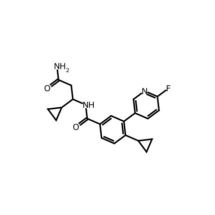 NC(=O)CC(NC(=O)c1ccc(C2CC2)c(-c2ccc(F)nc2)c1)C1CC1